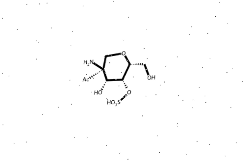 CC(=O)[C@]1(N)[CH]O[C@H](CO)[C@H](OS(=O)(=O)O)[C@@H]1O